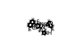 C[C@H]1NCC[C@H]1N(C)c1nc(OC[C@@]23CCCN2C[C@H](F)C3)nc2c(F)c(-c3cccc4ccc(F)c(Cl)c34)ncc12